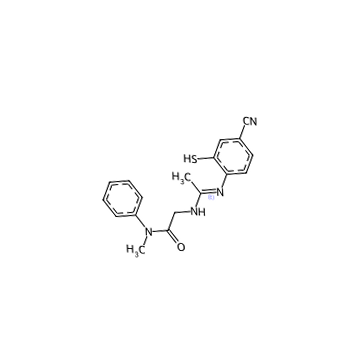 C/C(=N\c1ccc(C#N)cc1S)NCC(=O)N(C)c1ccccc1